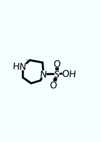 O=S(=O)(O)N1C[CH]NCCC1